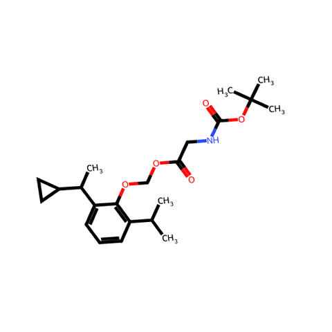 CC(C)c1cccc(C(C)C2CC2)c1OCOC(=O)CNC(=O)OC(C)(C)C